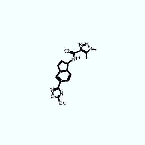 CCc1nc(-c2ccc3c(c2)CCC3NC(=O)c2nnn(C)c2C)no1